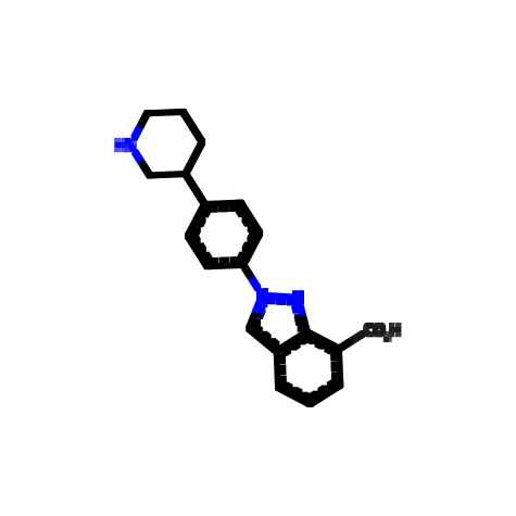 O=C(O)c1cccc2cn(-c3ccc(C4CCCNC4)cc3)nc12